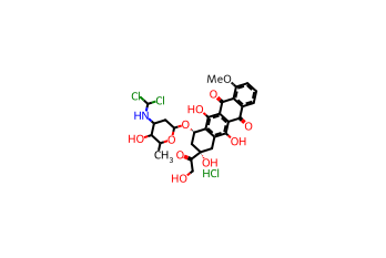 COc1cccc2c1C(=O)c1c(O)c3c(c(O)c1C2=O)C[C@@](O)(C(=O)CO)C[C@@H]3OC1CC(NC(Cl)Cl)C(O)C(C)O1.Cl